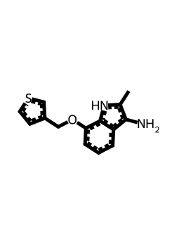 Cc1[nH]c2c(OCc3ccsc3)cccc2c1N